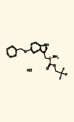 Cl.N[C@@H](Cc1c[nH]c2ccc(OCc3ccccc3)cc12)C(=O)OCC(F)(F)F